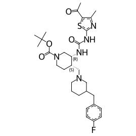 CC(=O)c1sc(NC(=O)N[C@H]2CN(C(=O)OC(C)(C)C)CC[C@H]2CN2CCCC(Cc3ccc(F)cc3)C2)nc1C